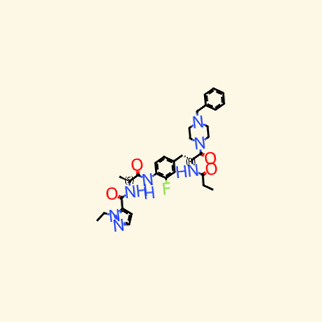 CCC(=O)N[C@H](Cc1ccc(NC(=O)[C@H](C)NC(=O)c2ccnn2CC)c(F)c1)C(=O)N1CCN(Cc2ccccc2)CC1